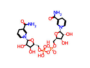 NC(=O)C1=CN([C@@H]2O[C@H](COP(=O)(O)OP(=O)(O)OC[C@H]3O[C@H](N4C=CCC(C(N)=O)=C4)[C@H](O)[C@@H]3O)[C@@H](O)[C@H]2O)C=CC1